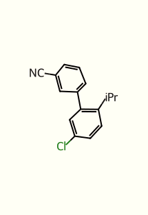 CC(C)c1ccc(Cl)cc1-c1cccc(C#N)c1